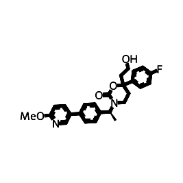 COc1ccc(-c2ccc([C@H](C)N3CCC(CCO)(c4ccc(F)cc4)OC3=O)cc2)cn1